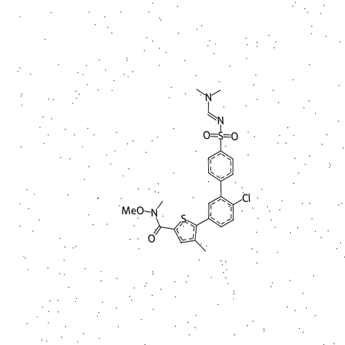 CON(C)C(=O)c1cc(C)c(-c2ccc(Cl)c(-c3ccc(S(=O)(=O)/N=C/N(C)C)cc3)c2)s1